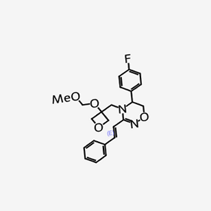 COCOC1(CN2C(/C=C/c3ccccc3)=NOCC2c2ccc(F)cc2)COC1